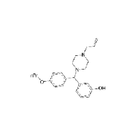 C=CCN1CCN(C(c2ccc(OCCC)cc2)c2cccc(O)c2)CC1